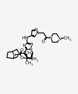 CN1CCN(C(=O)Cn2cc(Nc3nc4c(N5CC6CCC(C5)N6C(=O)OC(C)(C)C)cccn4n3)cn2)CC1